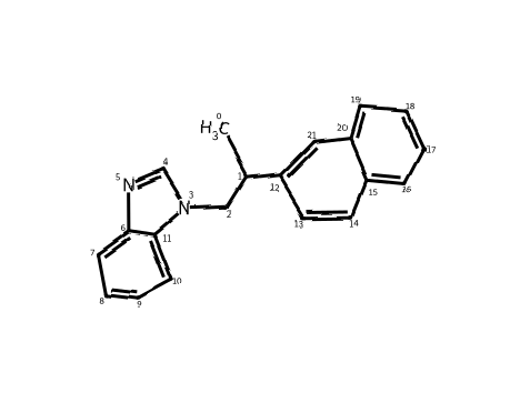 CC(Cn1cnc2ccccc21)c1ccc2ccccc2c1